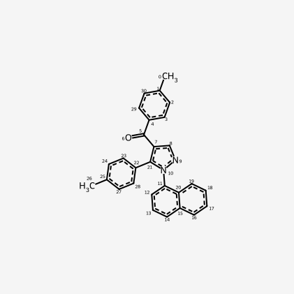 Cc1ccc(C(=O)c2cnn(-c3cccc4ccccc34)c2-c2ccc(C)cc2)cc1